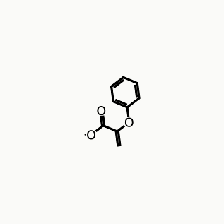 C=C(Oc1ccccc1)C([O])=O